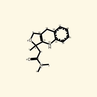 CN(C)C(=O)CC1(C)OCC2=C1Nc1ccccc1C2